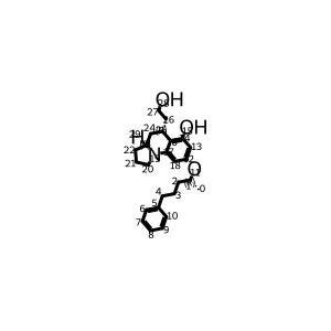 C[C@H](CCCc1ccccc1)Oc1cc(O)c2c(c1)N1CCC[C@H]1C[C@@H]2CCO